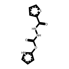 O=C(NNC(=O)c1cccs1)Oc1ccc[nH]1